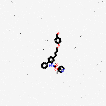 O=Cc1ccc(OCC/C=C/c2ccc(-c3ccccc3)c(NC(=O)O[C@H]3CN4CCC3CC4)c2)cc1